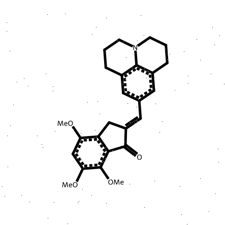 COc1cc(OC)c(OC)c2c1C/C(=C\c1cc3c4c(c1)CCCN4CCC3)C2=O